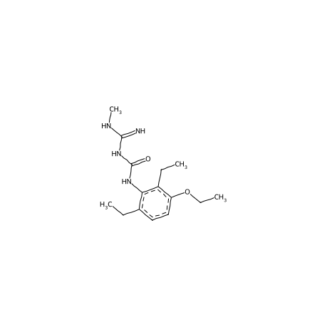 CCOc1ccc(CC)c(NC(=O)NC(=N)NC)c1CC